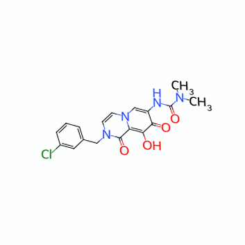 CN(C)C(=O)Nc1cn2ccn(Cc3cccc(Cl)c3)c(=O)c2c(O)c1=O